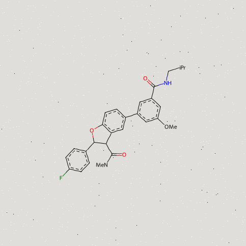 CNC(=O)C1c2cc(-c3cc(OC)cc(C(=O)NCC(C)C)c3)ccc2OC1c1ccc(F)cc1